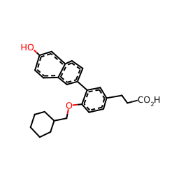 O=C(O)CCc1ccc(OCC2CCCCC2)c(-c2ccc3cc(O)ccc3c2)c1